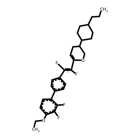 CCCC1CCC(C2CC=C(/C(F)=C(\F)c3ccc(-c4ccc(OCC)c(F)c4F)cc3)OC2)CC1